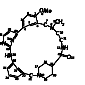 COc1ccc2cc1CN(C)CCNC(=O)C1CCN(CC1)Cc1cccc(c1)Nc1nccc-2n1